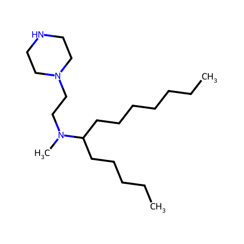 CCCCCCCC(CCCCC)N(C)CCN1CCNCC1